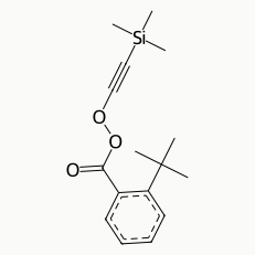 CC(C)(C)c1ccccc1C(=O)OOC#C[Si](C)(C)C